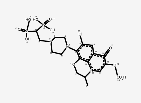 CC1COc2c(N3CCN(CC(P(=O)(O)O)P(=O)(O)O)CC3)c(Cl)cc3c(=O)c(OC(=O)O)cn1c23